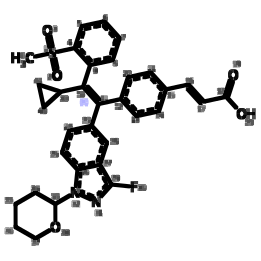 CS(=O)(=O)c1ccccc1/C(=C(\c1ccc(C=CC(=O)O)cc1)c1ccc2c(c1)c(F)nn2C1CCCCO1)C1CC1